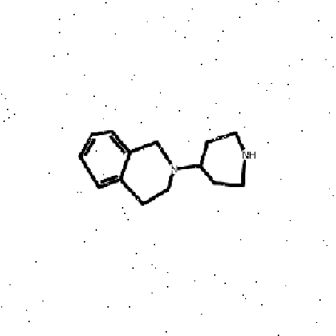 c1ccc2c(c1)CCN(C1CCNCC1)C2